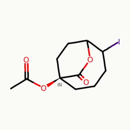 CC(=O)O[C@@]12CCCC(I)C(CC1)OC2=O